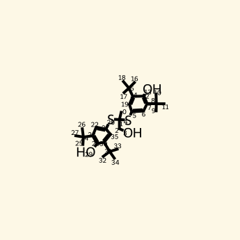 CC(CO)(Sc1cc(C(C)(C)C)c(O)c(C(C)(C)C)c1)Sc1cc(C(C)(C)C)c(O)c(C(C)(C)C)c1